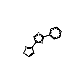 C1=CC(c2csc(-c3ccccc3)n2)=N[N]1